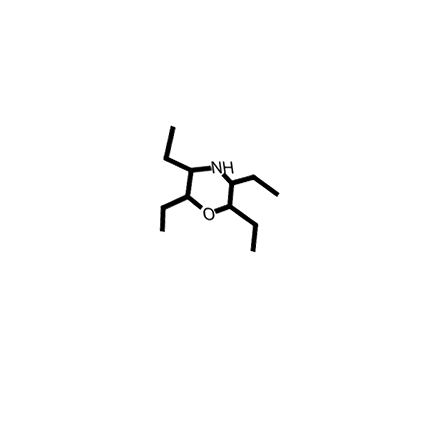 CCC1NC(CC)C(CC)OC1CC